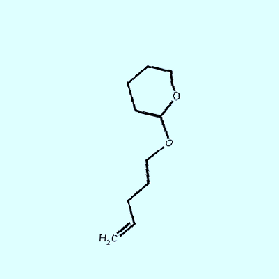 C=CCCCOC1CCCCO1